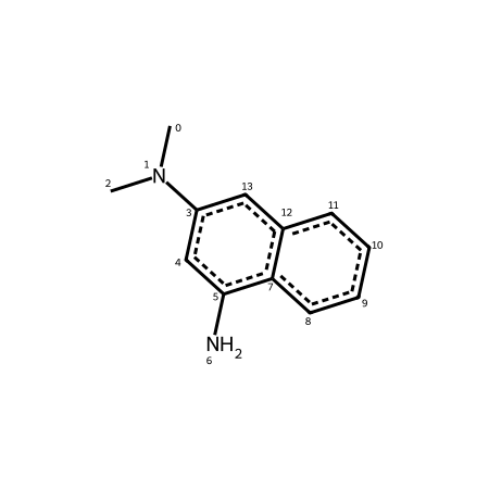 CN(C)c1cc(N)c2ccccc2c1